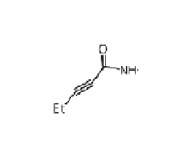 CCC#CC([NH])=O